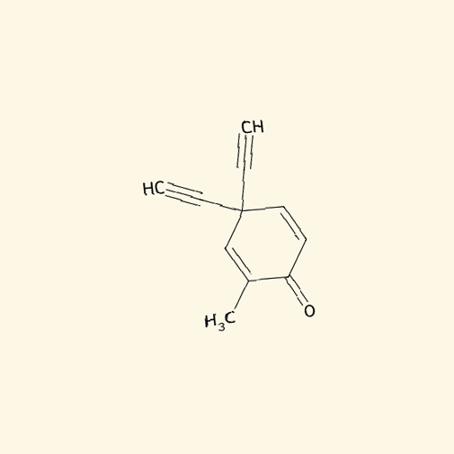 C#CC1(C#C)C=CC(=O)C(C)=C1